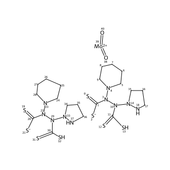 S=C([S-])N(N1CCCCC1)N(C(=S)S)N1CCCN1.S=C([S-])N(N1CCCCC1)N(C(=S)S)N1CCCN1.[O]=[Mo+2]=[O]